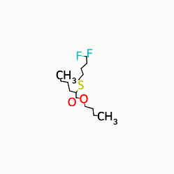 CCCCOC(=O)C(CCCC)SCCCCC(F)F